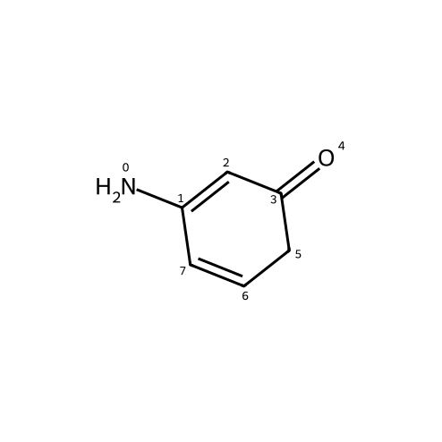 NC1=CC(=O)CC=C1